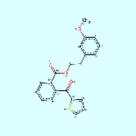 COc1cccc(CCOC(=O)c2ccccc2C(=O)c2cccs2)c1